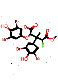 COC(=O)C(F)C(C)(c1cc(Br)c(O)c(Br)c1)C(Oc1cc(Br)c(O)c(Br)c1)C(=O)O